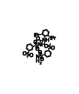 CC(C)c1cccc(C(C)C)c1NC(=O)NS(=O)(=O)c1cccc(S(C)(=O)=O)c1.CS(=O)(=O)c1cccc(S(N)(=O)=O)c1